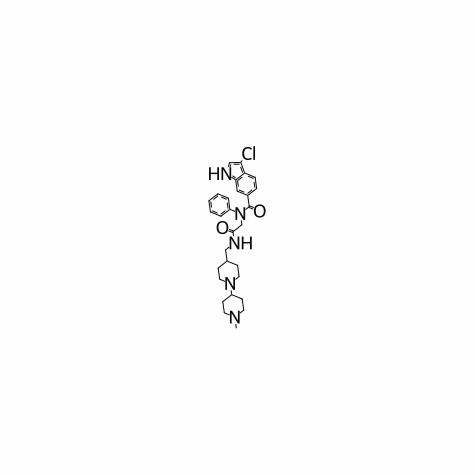 CN1CCC(N2CCC(CNC(=O)CN(C(=O)c3ccc4c(Cl)c[nH]c4c3)c3ccccc3)CC2)CC1